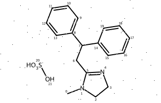 CN1CCN=C1CC(c1ccccc1)c1ccccc1.O=S(=O)(O)O